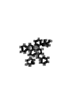 FC(F)(F)Oc1ccccc1C1=c2c(ccc3c2=CCc2ccccc2-3)C(Cc2ccccc2)CC1.c1ccncc1